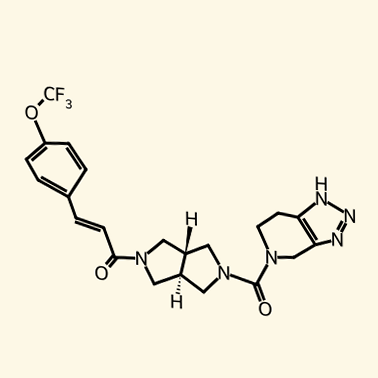 O=C(/C=C/c1ccc(OC(F)(F)F)cc1)N1C[C@@H]2CN(C(=O)N3CCc4[nH]nnc4C3)C[C@H]2C1